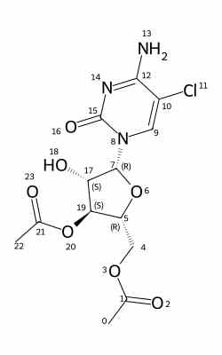 CC(=O)OC[C@H]1O[C@@H](n2cc(Cl)c(N)nc2=O)[C@@H](O)[C@@H]1OC(C)=O